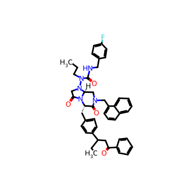 CCCN(C(=O)NCc1ccc(F)cc1)N1CC(=O)N2[C@@H](Cc3ccc(C(CC)CC(=O)c4ccccc4)cc3)C(=O)N(Cc3cccc4ccccc34)C[C@@H]21